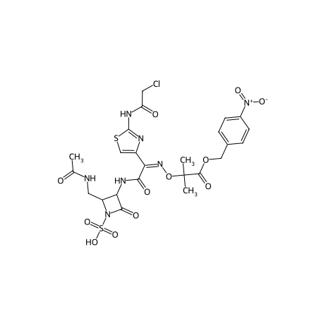 CC(=O)NCC1C(NC(=O)C(=NOC(C)(C)C(=O)OCc2ccc([N+](=O)[O-])cc2)c2csc(NC(=O)CCl)n2)C(=O)N1S(=O)(=O)O